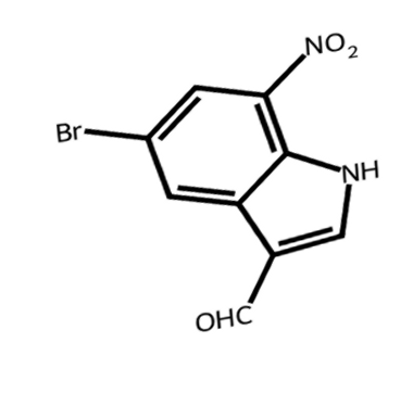 O=Cc1c[nH]c2c([N+](=O)[O-])cc(Br)cc12